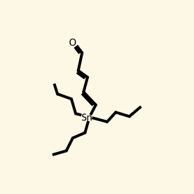 CCC[CH2][Sn]([CH]=CC=CC=O)([CH2]CCC)[CH2]CCC